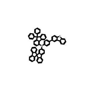 c1ccc(C2(c3ccccc3)c3ccccc3-c3c(N(c4ccc(-c5ccc6sc7ccccc7c6c5)cc4)c4ccc5c(c4)C4(c6ccccc6-c6ccccc64)c4ccccc4-5)cccc32)cc1